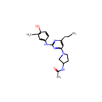 CCCc1cc(N2CCC(NC(C)=O)C2)nc(Nc2ccc(O)c(C)c2)n1